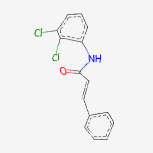 O=C(/C=C/c1ccccc1)Nc1cccc(Cl)c1Cl